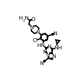 N#Cc1cc(Nc2nc(NC3CC3)c3ncc(C#N)n3n2)c(Cl)c(N2CCN(CC(N)=O)CC2)c1